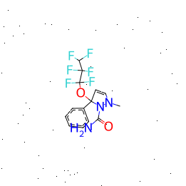 CN1C=CC(OC(F)(F)C(F)(F)C(F)F)(c2ccccc2)N1C(N)=O